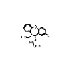 O=CNC[C@H]1c2cc(Cl)ccc2Oc2ccccc2[C@@H]1CO